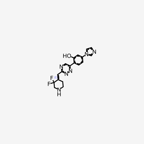 Oc1cc(-n2ccnc2)ccc1-c1cnc(/C=C2\CCNCC2(F)F)nn1